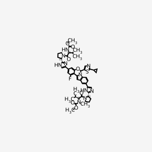 COC(=O)N[C@H](C(=O)N1CCC[C@H]1c1nc(-c2cc(F)c3c(c2)OC(c2cnc(C4CC4)s2)n2c-3cc3cc(-c4cnc([C@@H]5CCCN5C(=O)[C@H](C(C)C)N(C)C(=O)OC)[nH]4)ccc32)c[nH]1)C(C)C